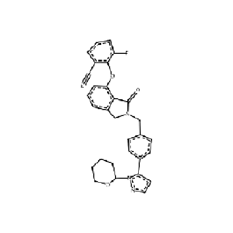 N#Cc1cccc(F)c1Oc1cccc2c1C(=O)N(Cc1ccc(-c3ccnn3C3CCCCO3)cc1)C2